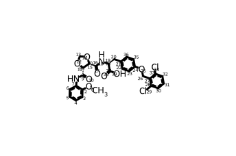 COc1ccccc1NC(=O)[C@@H]1OCO[C@H]1C(=O)N[C@@H](Cc1ccc(OCc2c(Cl)cccc2Cl)cc1)C(=O)O